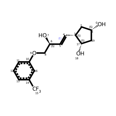 O[C@H]1C[C@@H](/C=C/[C@H](O)COc2cccc(C(F)(F)F)c2)[C@@H](O)C1